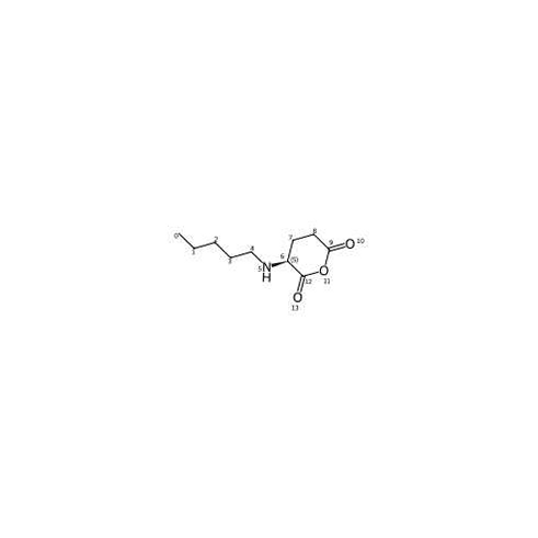 CCCCCN[C@H]1CCC(=O)OC1=O